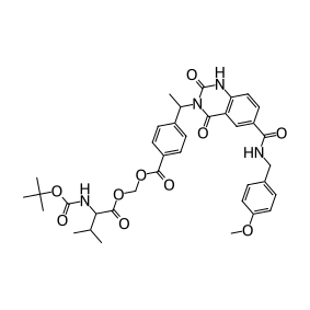 COc1ccc(CNC(=O)c2ccc3[nH]c(=O)n(C(C)c4ccc(C(=O)OCOC(=O)C(NC(=O)OC(C)(C)C)C(C)C)cc4)c(=O)c3c2)cc1